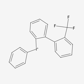 FC(F)(F)c1ccccc1-c1ccccc1[I+]c1ccccc1